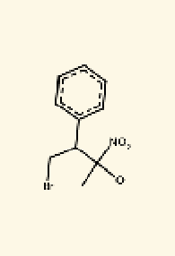 CC([O])(C(CBr)c1ccccc1)[N+](=O)[O-]